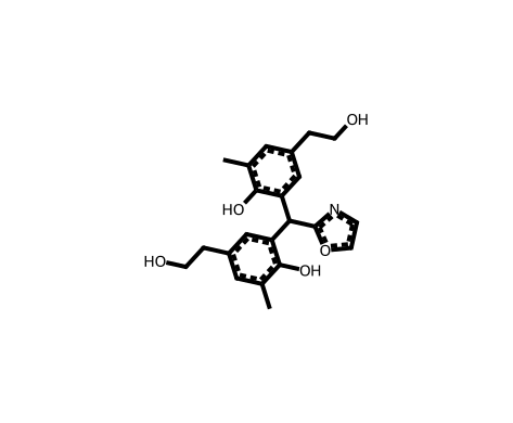 Cc1cc(CCO)cc(C(c2ncco2)c2cc(CCO)cc(C)c2O)c1O